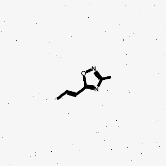 [CH2]/C=C/c1nc(C)no1